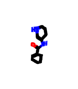 O=C(NC1CCCNC1)c1ccccc1